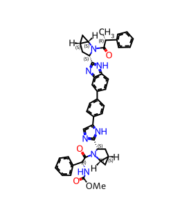 COC(=O)N[C@@H](C(=O)N1[C@H](c2ncc(-c3ccc(-c4ccc5[nH]c([C@@H]6C[C@@H]7C[C@@H]7N6C(=O)[C@H](C)c6ccccc6)nc5c4)cc3)[nH]2)C[C@@H]2C[C@@H]21)c1ccccc1